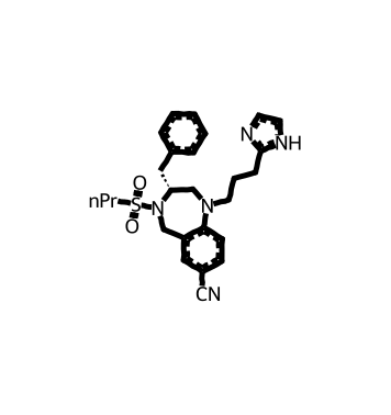 CCCS(=O)(=O)N1Cc2cc(C#N)ccc2N(CCCc2ncc[nH]2)C[C@H]1Cc1ccccc1